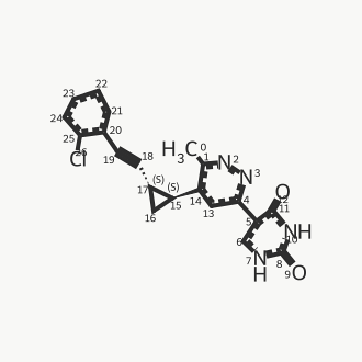 Cc1nnc(-c2c[nH]c(=O)[nH]c2=O)cc1[C@H]1C[C@@H]1C#Cc1ccccc1Cl